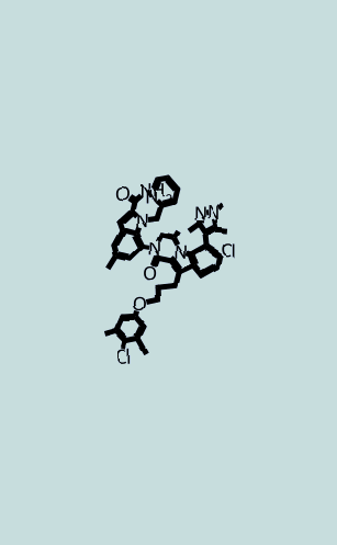 Cc1cc(N2CC(C)n3c(c(CCCOc4cc(C)c(Cl)c(C)c4)c4ccc(Cl)c(-c5c(C)nn(C)c5C)c43)C2=O)c2c(c1)cc(C(N)=O)n2Cc1ccccn1